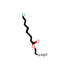 CCCCCCCCCOC(=O)CCCCCCCCl